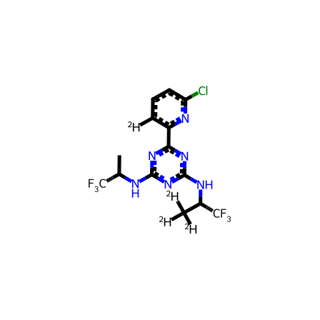 [2H]c1ccc(Cl)nc1-c1nc(NC(C)C(F)(F)F)nc(NC(C([2H])([2H])[2H])C(F)(F)F)n1